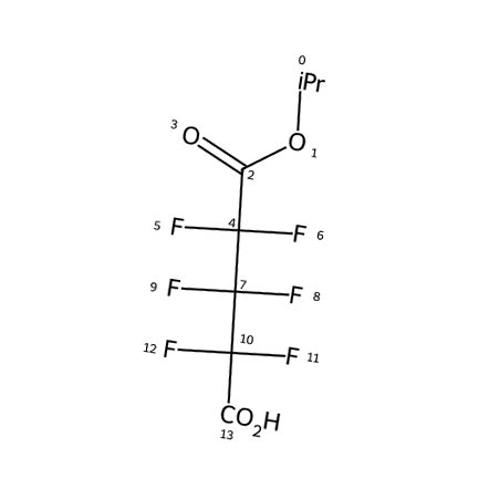 CC(C)OC(=O)C(F)(F)C(F)(F)C(F)(F)C(=O)O